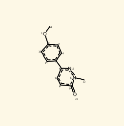 COc1ccc(-c2ccc(=O)n(C)n2)cc1